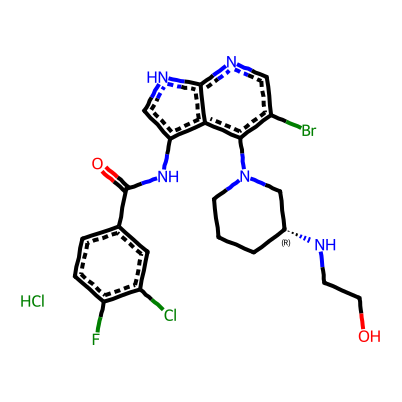 Cl.O=C(Nc1c[nH]c2ncc(Br)c(N3CCC[C@@H](NCCO)C3)c12)c1ccc(F)c(Cl)c1